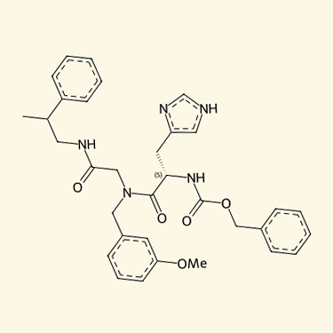 COc1cccc(CN(CC(=O)NCC(C)c2ccccc2)C(=O)[C@H](Cc2c[nH]cn2)NC(=O)OCc2ccccc2)c1